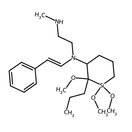 CCCC1(OC)C(N(C=Cc2ccccc2)CCNC)CCC[Si]1(OC)OC